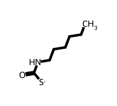 CCCCCCNC(=O)[S]